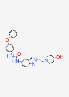 O=C(Nc1ccc(Oc2ccccc2)cc1)Nc1ccc2nn(CCN3CCC(O)CC3)cc2c1